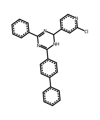 Clc1cc(C2N=C(c3ccccc3)N=C(c3ccc(-c4ccccc4)cc3)N2)ccn1